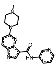 CN1CCN(c2ccc3ncc(C(=O)Nc4cccnc4)n3n2)CC1